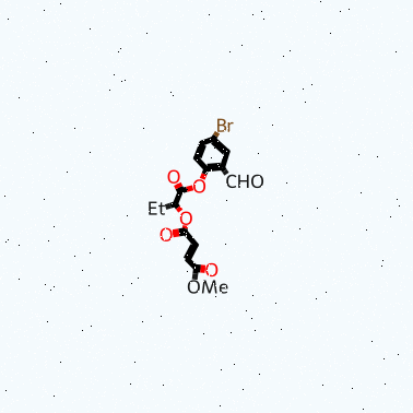 CCC(OC(=O)C=CC(=O)OC)C(=O)Oc1ccc(Br)cc1C=O